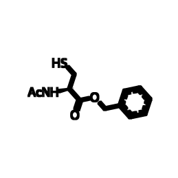 CC(=O)N[C@@H](CS)C(=O)OCc1ccccc1